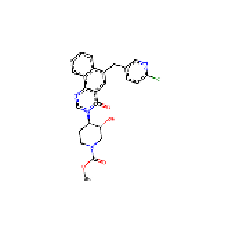 CC(C)(C)OC(=O)N1CC[C@@H](n2cnc3c(cc(Cc4ccc(Cl)nc4)c4ccccc43)c2=O)[C@H](O)C1